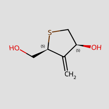 C=C1[C@H](O)CS[C@@H]1CO